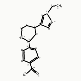 CCn1cc(C2CCN[C@H](c3ccc(C(=O)O)cc3)C2)cn1